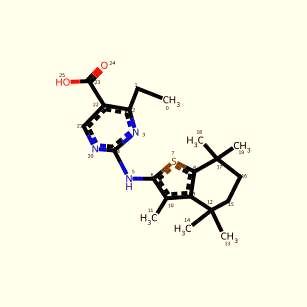 CCc1nc(Nc2sc3c(c2C)C(C)(C)CCC3(C)C)ncc1C(=O)O